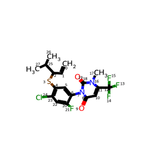 C=CC(Sc1cc(-n2c(=O)cc(C(F)(F)F)n(C)c2=O)c(F)cc1Cl)C(C)C